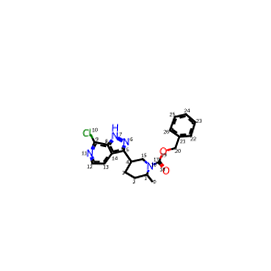 CC1CCC(c2n[nH]c3c(Cl)nccc23)CN1C(=O)OCc1ccccc1